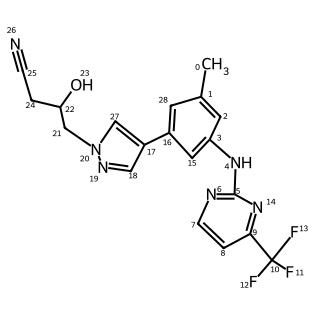 Cc1cc(Nc2nccc(C(F)(F)F)n2)cc(-c2cnn(CC(O)CC#N)c2)c1